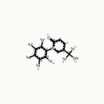 [2H]c1c([2H])c([2H])c(-n2cc(C([2H])([2H])O)ccc2=O)c([2H])c1[2H]